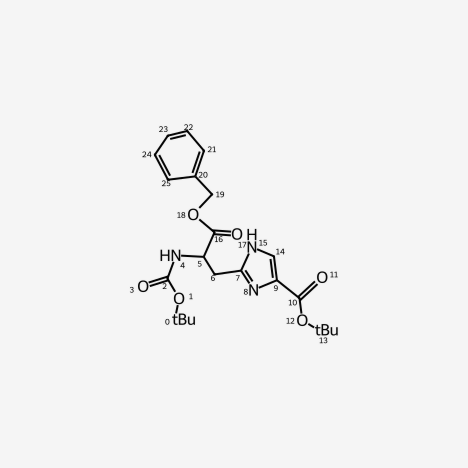 CC(C)(C)OC(=O)NC(Cc1nc(C(=O)OC(C)(C)C)c[nH]1)C(=O)OCc1ccccc1